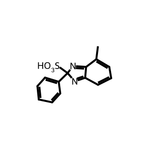 Cc1cccc2c1=NC(c1ccccc1)(S(=O)(=O)O)N=2